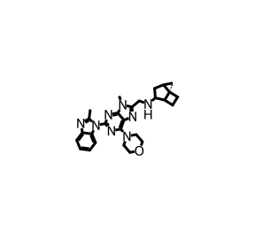 Cc1nc2ccccc2n1-c1nc(N2CCOCC2)c2nc(CNC3CC4C[C@@]45CCC35)n(C)c2n1